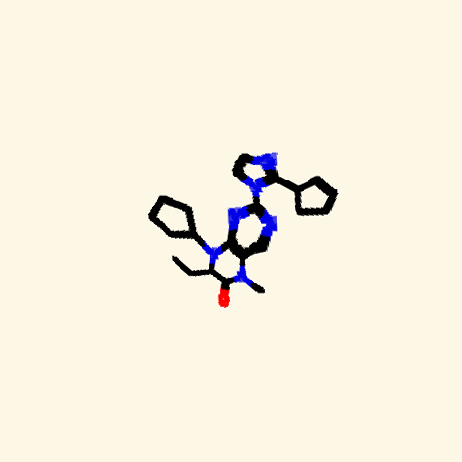 CCC1C(=O)N(C)c2cnc(-n3ccnc3C3C=CCC3)nc2N1C1CCCC1